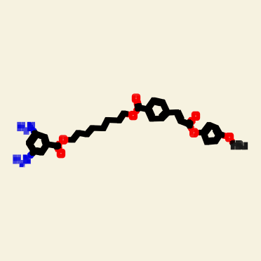 CCCCOc1ccc(OC(=O)C=Cc2ccc(C(=O)OCCCCCCCCOC(=O)c3cc(N)cc(N)c3)cc2)cc1